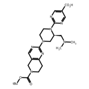 CN(C)C[C@H]1CN(c2ncc3c(n2)CCN(C(=O)OC(C)(C)C)C3)CCN1c1ncc(C(=O)O)cn1